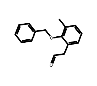 Cc1cccc(CC=O)c1OCc1ccccc1